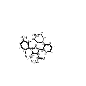 Cc1ccc(O)c(C)c1-n1nc(-c2ncccc2N2CCNCC2)c(C(N)=O)c1N